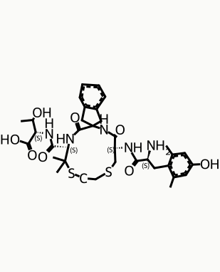 Cc1cc(O)cc(C)c1C[C@H](N)C(=O)N[C@@H]1CSCCSC(C)(C)[C@H](C(=O)N[C@H](C(=O)O)C(C)O)NC(=O)C2(Cc3ccccc3C2)NC1=O